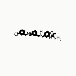 CC1Oc2ccc(CNCc3cccc(CNCc4cccc(Cl)c4)c3)cc2N=C1N